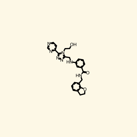 O=C(NCc1cccc2c1OCC2)c1cccc(NCc2nnc(-c3ccncn3)n2CCO)c1